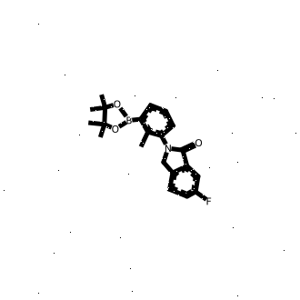 Cc1c(B2OC(C)(C)C(C)(C)O2)cccc1N1Cc2ccc(F)cc2C1=O